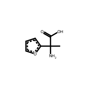 CC(N)(C(=O)O)c1ccco1